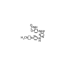 CN1CCN(c2ccc(Nc3ncc(F)c(Nc4ccc5c(c4)NC(=O)CO5)n3)cn2)CC1